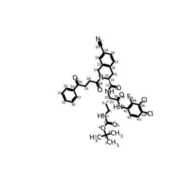 CC(C)(C)OC(=O)NCC[C@H](NC(=O)[C@@H]1Cc2ccc(C#N)cc2CN1C(=O)CCC(=O)c1ccccc1)C(=O)Nc1ccc(Cl)c(Cl)c1F